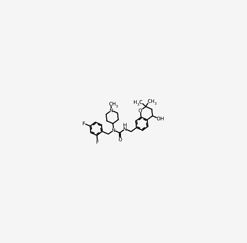 CN1CCC(N(Cc2ccc(F)cc2F)C(=O)NCc2ccc3c(c2)OC(C)(C)CC3O)CC1